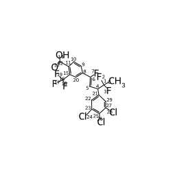 CC(F)(F)C(/C=C(\F)c1ccc(C(=O)O)c(C(F)(F)F)c1)c1cc(Cl)c(Cl)c(Cl)c1